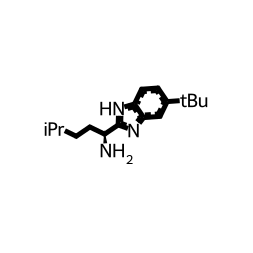 CC(C)CC[C@H](N)c1nc2cc(C(C)(C)C)ccc2[nH]1